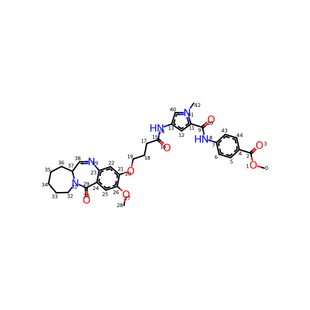 COC(=O)c1ccc(NC(=O)c2cc(NC(=O)CCCOc3cc4c(cc3OC)C(=O)N3CCCCCC3C=N4)cn2C)cc1